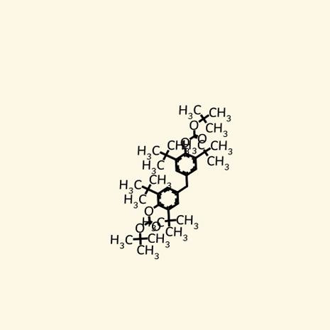 CC(C)(C)OC(=O)Oc1c(C(C)(C)C)cc(Cc2cc(C(C)(C)C)c(OC(=O)OC(C)(C)C)c(C(C)(C)C)c2)cc1C(C)(C)C